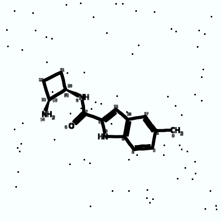 Cc1ccc2[nH]c(C(=O)N[C@@H]3CC[C@@H]3N)cc2c1